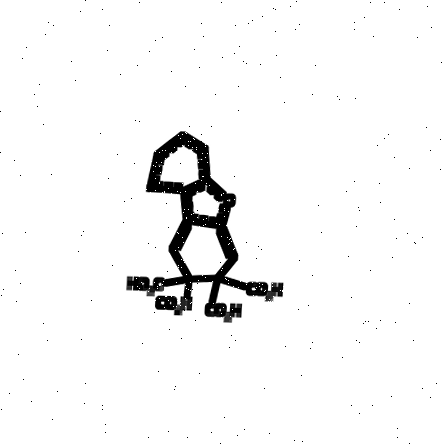 O=C(O)C1(C(=O)O)C=c2oc3ccccc3c2=CC1(C(=O)O)C(=O)O